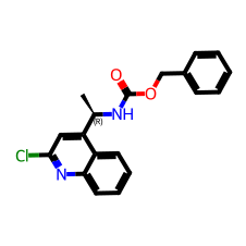 C[C@@H](NC(=O)OCc1ccccc1)c1cc(Cl)nc2ccccc12